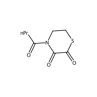 [CH2]CCC(=O)N1CCSC(=O)C1=O